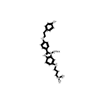 CCCCCCn1c(-c2ccc(OCCc3ccc(Cl)cc3)cc2)nc2ccc(OCCCN(CC)CC)cc21